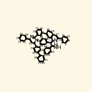 N=C(/C(=C1\NC(c2ccccc2)=Cc2ccc(-c3cccc(-c4nc(-c5ccccc5)cc(-c5ccc(-c6ccccc6)cc5)n4)c3)cc21)c1ccccc1)c1ccccc1